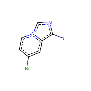 Brc1ccn2cnc(I)c2c1